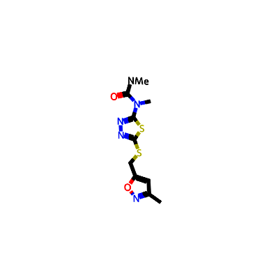 CNC(=O)N(C)c1nnc(SCc2cc(C)no2)s1